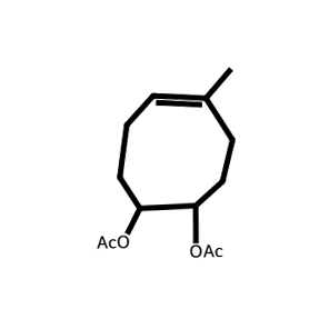 CC(=O)OC1CCC=C(C)CCC1OC(C)=O